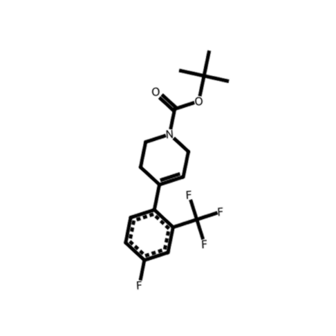 CC(C)(C)OC(=O)N1CC=C(c2ccc(F)cc2C(F)(F)F)CC1